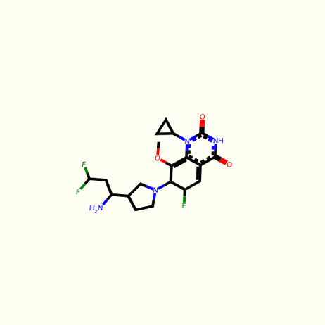 COC1=c2c(c(=O)[nH]c(=O)n2C2CC2)=CC(F)C1N1CCC(C(N)CC(F)F)C1